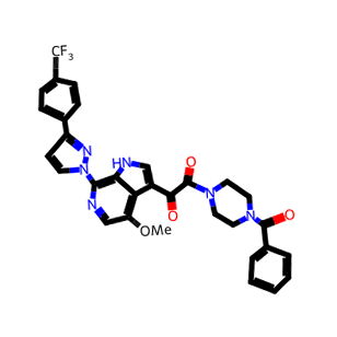 COc1cnc(-n2ccc(-c3ccc(C(F)(F)F)cc3)n2)c2[nH]cc(C(=O)C(=O)N3CCN(C(=O)c4ccccc4)CC3)c12